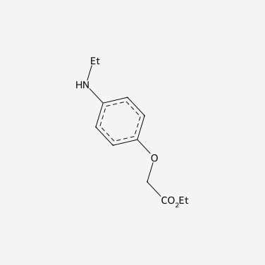 CCNc1ccc(OCC(=O)OCC)cc1